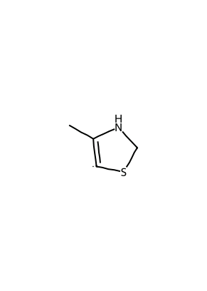 CC1=[C]SCN1